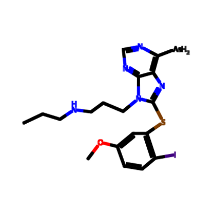 CCCNCCCn1c(Sc2cc(OC)ccc2I)nc2c([AsH2])ncnc21